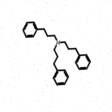 c1ccc(CC[CH2][Al]([CH2]CCc2ccccc2)[CH2]CCc2ccccc2)cc1